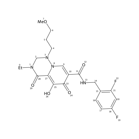 CCN1CN(CCCOC)n2cc(C(=O)NCc3ccc(F)cc3F)c(=O)c(O)c2C1=O